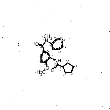 COc1ccc(C(=O)N(C)c2cccnc2)cc1NC(=O)C1CCCC1